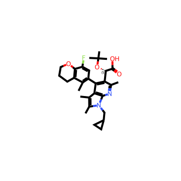 Cc1nc2c(c(C)c(C)n2CC2CC2)c(-c2cc(F)c3c(c2C)CCCO3)c1[C@H](OC(C)(C)C)C(=O)O